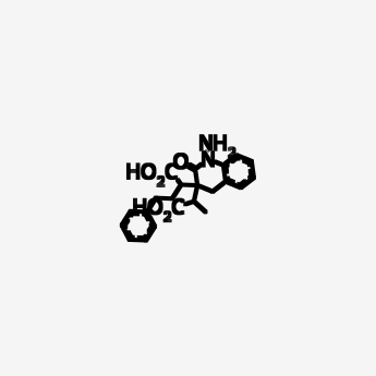 CC(C(=O)O)C1(C(CCc2ccccc2)C(=O)O)Cc2ccccc2N(N)C1=O